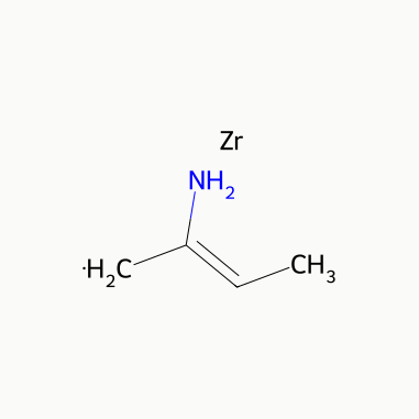 [CH2]C(N)=CC.[Zr]